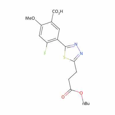 CCCCOC(=O)CCc1nnc(-c2cc(C(=O)O)c(OC)cc2F)s1